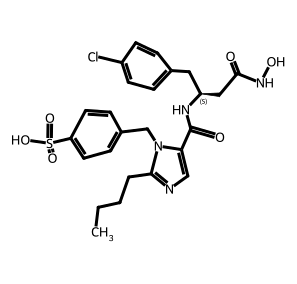 CCCCc1ncc(C(=O)N[C@H](CC(=O)NO)Cc2ccc(Cl)cc2)n1Cc1ccc(S(=O)(=O)O)cc1